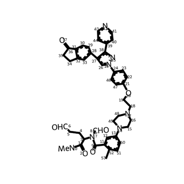 CNC(=O)C(CCC=O)N(C=O)C(=O)c1cc(N2CCN(CCOc3ccc(-n4cc(-c5ccc6c(c5)CCC6=O)c(-c5ccncc5)n4)cc3)CC2)ccc1C